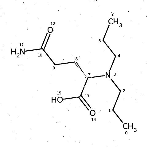 CCCN(CCC)[C@@H](CCC(N)=O)C(=O)O